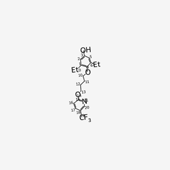 CCc1cc(O)cc(CC)c1OCCCCOc1ccc(C(F)(F)F)cn1